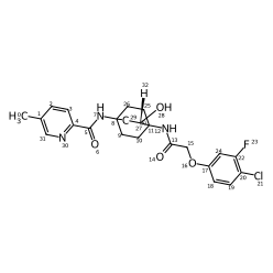 Cc1ccc(C(=O)NC23CCC(NC(=O)COc4ccc(Cl)c(F)c4)(CC2)[C@@H](O)C3)nc1